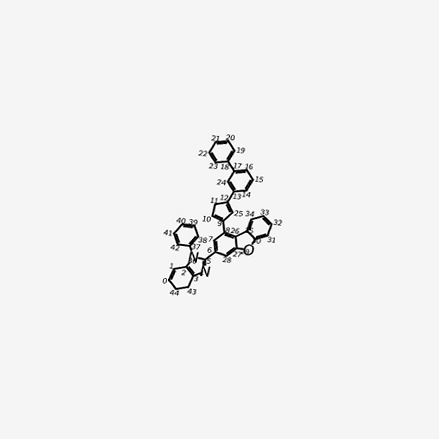 C1=Cc2c(nc(-c3cc(C4=CCC(c5cccc(-c6ccccc6)c5)=C4)c4c(c3)oc3ccccc34)n2-c2ccccc2)CC1